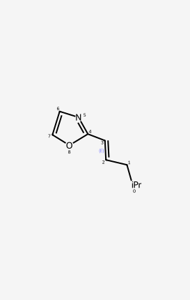 CC(C)C/C=C/c1ncco1